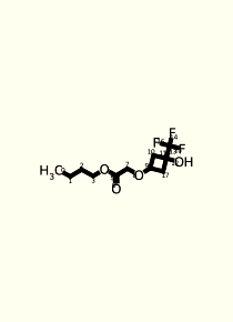 CCCCOC(=O)COC1CC(O)(C(F)(F)F)C1